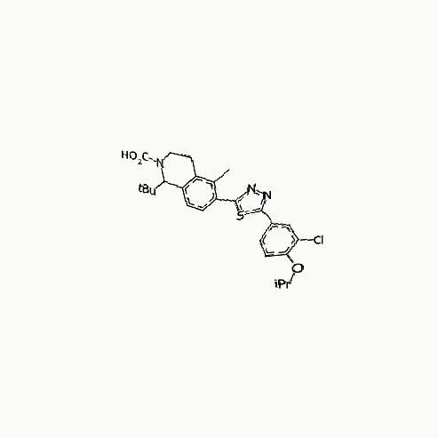 Cc1c(-c2nnc(-c3ccc(OC(C)C)c(Cl)c3)s2)ccc2c1CCN(C(=O)O)C2C(C)(C)C